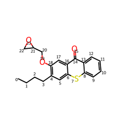 CCCCc1cc2sc3ccccc3c(=O)c2cc1OCC1CO1